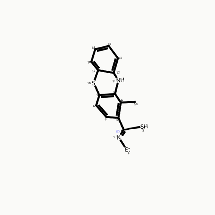 CC/N=C(\S)c1ccc2c(c1C)Nc1ccccc1S2